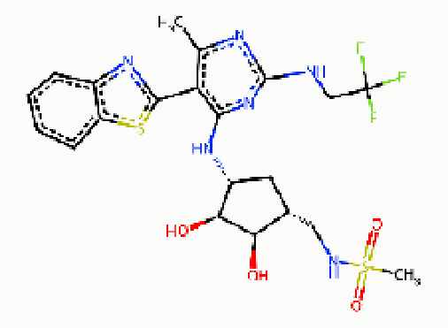 Cc1nc(NCC(F)(F)F)nc(N[C@@H]2C[C@H](CNS(C)(=O)=O)[C@@H](O)[C@H]2O)c1-c1nc2ccccc2s1